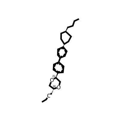 CCCC[C@@H]1CO[C@@H](c2ccc(-c3ccc([C@H]4CC[C@H](CCCC)CC4)cc3)cc2)CO1